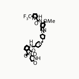 COc1cc2nn([C@H]3CC[C@H](CN4CCC(CNc5cccc6c5C(=O)N(C5CCC(=O)NC5=O)C6=O)CC4)CC3)cc2cc1NC(=O)c1cccc(C(F)(F)F)n1